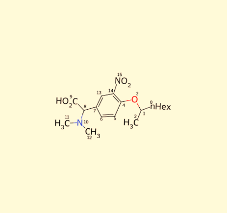 CCCCCCC(C)Oc1ccc(C(C(=O)O)N(C)C)cc1[N+](=O)[O-]